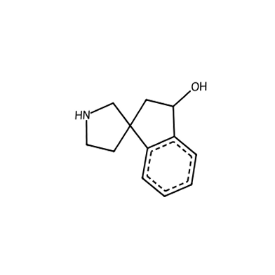 OC1CC2(CCNC2)c2ccccc21